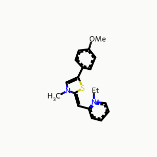 CC[n+]1ccccc1/C=C1\SC(c2ccc(OC)cc2)=CN1C